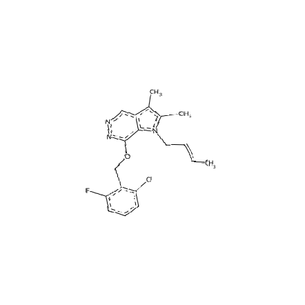 CC=CCn1c(C)c(C)c2cnnc(OCc3c(F)cccc3Cl)c21